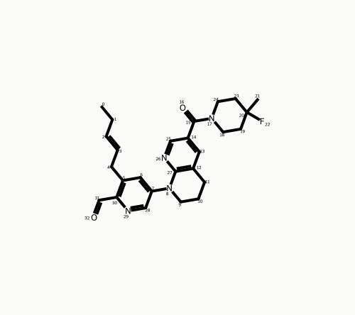 CC/C=C/Cc1cc(N2CCCc3cc(C(=O)N4CCC(C)(F)CC4)cnc32)cnc1C=O